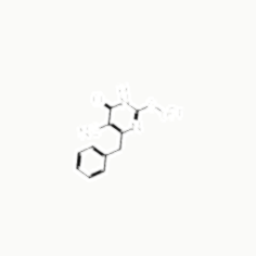 CCCSc1nc(Cc2ccccc2)c(C#N)c(=O)[nH]1